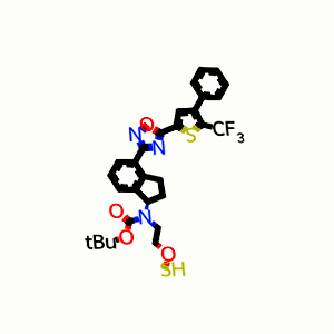 CC(C)(C)OC(=O)N(CCOS)[C@@H]1CCc2c(-c3noc(-c4cc(-c5ccccc5)c(C(F)(F)F)s4)n3)cccc21